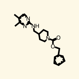 Cc1cnc(NCC2CCN(C(=O)OCc3ccccc3)CC2)nc1C